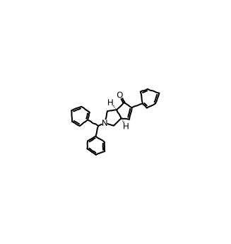 O=C1C(c2ccccc2)=C[C@H]2CN(C(c3ccccc3)c3ccccc3)C[C@@H]12